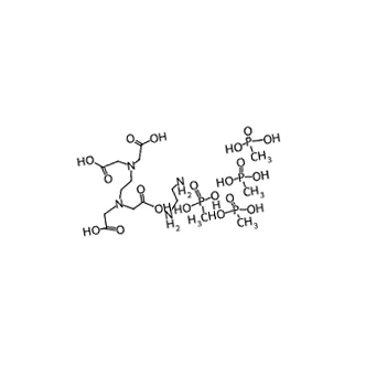 CP(=O)(O)O.CP(=O)(O)O.CP(=O)(O)O.CP(=O)(O)O.NCCN.O=C(O)CN(CCN(CC(=O)O)CC(=O)O)CC(=O)O